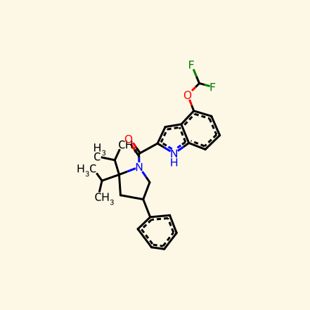 CC(C)C1(C(C)C)CC(c2ccccc2)CN1C(=O)c1cc2c(OC(F)F)cccc2[nH]1